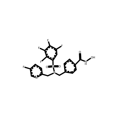 O=C(NO)c1ccc(CN(Cc2ccc(F)cn2)S(=O)(=O)c2cc(F)c(F)c(F)c2F)cc1